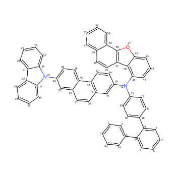 c1ccc(-c2ccccc2-c2ccc(N(c3ccc4c(ccc5cc(-n6c7ccccc7c7ccccc76)ccc54)c3)c3cccc4oc5c6ccccc6ccc5c34)cc2)cc1